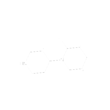 CC1CCCCN1C1CCNCC1